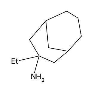 CCC1(N)CC2CCCC(C2)C1